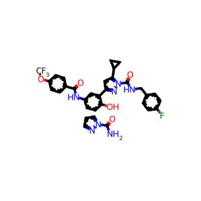 NC(=O)n1cccn1.O=C(Nc1ccc(O)c(-c2cc(C3CC3)n(C(=O)NCc3ccc(F)cc3)n2)c1)c1ccc(OC(F)(F)F)cc1